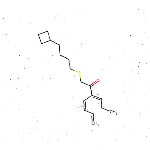 C=C/C=C\C(=C/CC)C(=O)CSCCCCC1CCC1